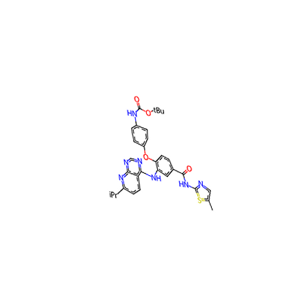 Cc1cnc(NC(=O)c2ccc(Oc3ccc(NC(=O)OC(C)(C)C)cc3)c(Nc3ncnc4nc(C(C)C)ccc34)c2)s1